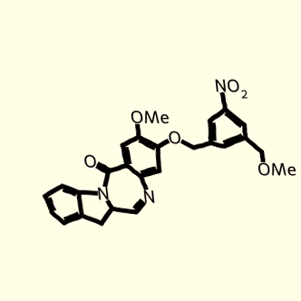 COCc1cc(COc2cc3c(cc2OC)C(=O)N2c4ccccc4CC2C=N3)cc([N+](=O)[O-])c1